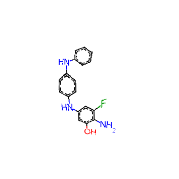 Nc1c(O)cc(Nc2ccc(Nc3ccccc3)cc2)cc1F